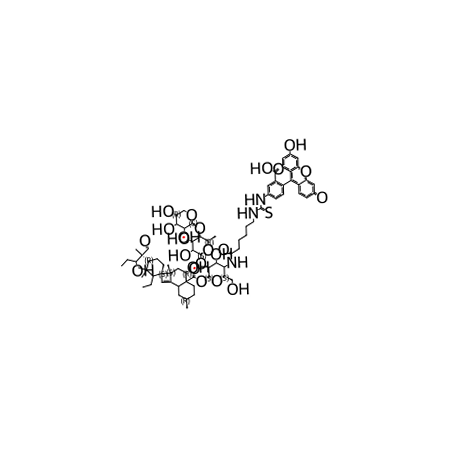 CCC(O)C(C)(C=O)[C@@H]1CC[C@@]2(C=C3C4C[C@H](C)CCC4(C(=O)O[C@@H]4O[C@H](CO)C(NC(=O)CCCCCNC(=S)Nc5ccc(-c6c7ccc(=O)cc-7oc7cc(O)ccc67)c(C(=O)O)c5)C(O)C4O[C@@H]4O[C@H](C)C(O[C@@H]5OC[C@@H](O)C(O)C5O)C(O)C4O)[C@H](O)C[C@]32C)C(CC)C1(C)C